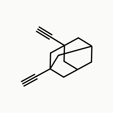 C#CC12CC3CC(C1)CC(C#C)(C3)C2